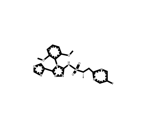 COc1cccc(OC)c1-n1c(NS(=O)(=O)[C@@H](C)Cc2ncc(F)cn2)nnc1-c1cocn1